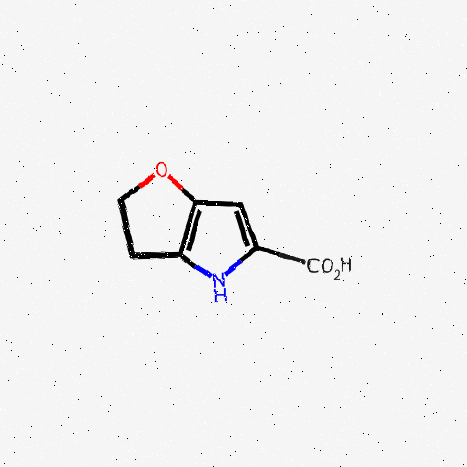 O=C(O)c1cc2c([nH]1)CCO2